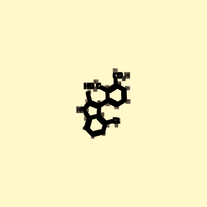 CCc1cccc2[nH]c(C)c(-c3cccc(C(=O)O)c3C(=O)O)c12